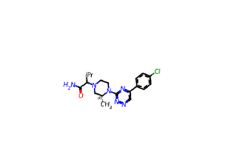 CC(C)C(C(N)=O)N1CCN(c2nncc(-c3ccc(Cl)cc3)n2)[C@H](C)C1